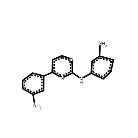 Nc1cccc(Nc2nccc(-c3cccc(N)c3)n2)c1